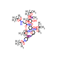 CN(C(=O)OC(C)(C)C)[C@@H]1[C@@H](O)[C@@H](O[C@H]2[C@H](NC(=O)[C@@H](O)CCNC(=O)OC(C)(C)C)C[C@H](NC(=O)OC(C)(C)C)C([C@H]3OC(CNCC4(O)CCN(C(=O)OC(C)(C)C)CC4)=CC[C@H]3NC(=O)OC(C)(C)C)[C@@H]2O)OC[C@]1(C)O